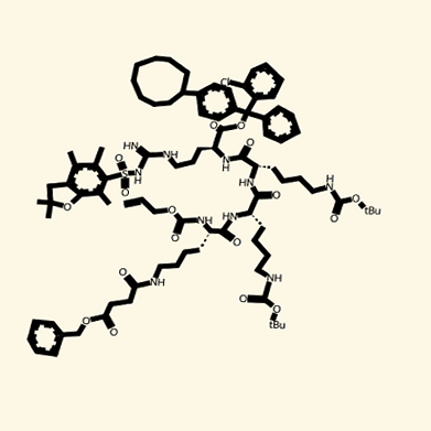 C=CCOC(=O)N[C@@H](CCCCNC(=O)CCC(=O)OCc1ccccc1)C(=O)N[C@@H](CCCCNC(=O)OC(C)(C)C)C(=O)N[C@@H](CCCCNC(=O)OC(C)(C)C)C(=O)N[C@@H](CCCNC(=N)NS(=O)(=O)c1c(C)c(C)c2c(c1C)OC(C)(C)C2)C(=O)OC(c1ccccc1)(c1ccc(C2CCCCCCCC2)cc1)c1ccccc1Cl